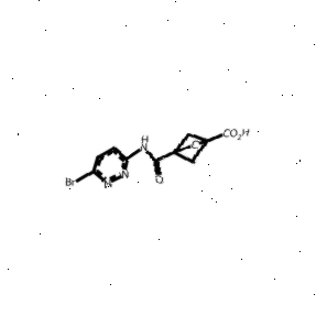 O=C(O)C12CC(C(=O)Nc3ccc(Br)nn3)(C1)C2